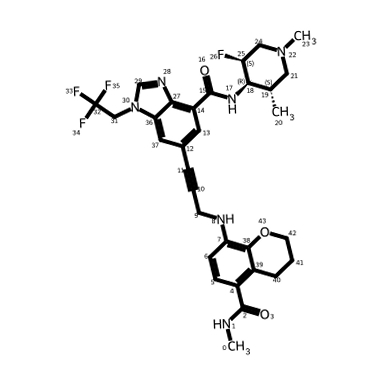 CNC(=O)c1ccc(NCC#Cc2cc(C(=O)N[C@@H]3[C@@H](C)CN(C)C[C@@H]3F)c3ncn(CC(F)(F)F)c3c2)c2c1CCCO2